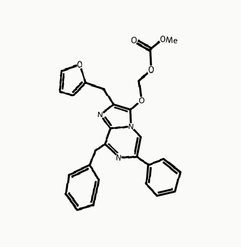 COC(=O)OCOc1c(Cc2ccco2)nc2c(Cc3ccccc3)nc(-c3ccccc3)cn12